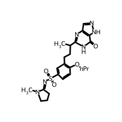 CCCOc1ccc(S(=O)(=O)N=C2CCCN2C)cc1CCC(C)c1nc2cn[nH]c2c(=O)[nH]1